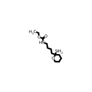 CCOC(=O)NCCCCC1([SiH3])CCCCO1